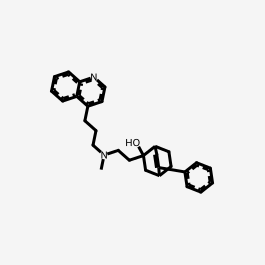 CN(CCCc1ccnc2ccccc12)CCC1(O)CC2CCC1C=C2c1ccccc1